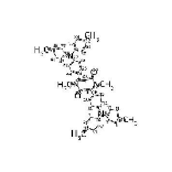 Cc1ccc(N(c2ccc(C)cc2)c2ccc(C3=C4C(=O)N(C)C(c5ccc(N(c6ccc(C)cc6)c6ccc(C)cc6)cc5)=C4C(=O)N3C)cc2)cc1